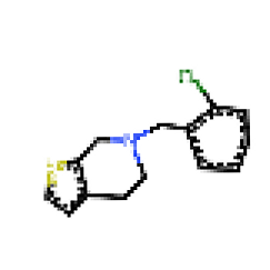 Clc1ccccc1CN1CCc2ccsc2C1